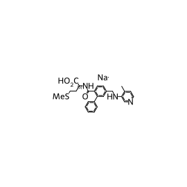 CSCC[C@H](NC(=O)c1ccc(CNc2cnccc2C)cc1-c1ccccc1)C(=O)O.[Na]